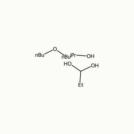 CC(C)O.CCC(O)O.CCCCOCCCC